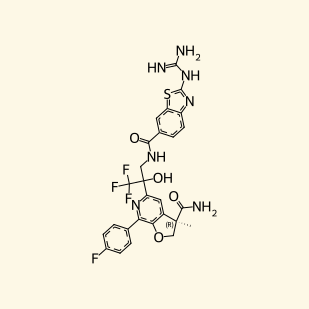 C[C@]1(C(N)=O)COc2c1cc(C(O)(CNC(=O)c1ccc3nc(NC(=N)N)sc3c1)C(F)(F)F)nc2-c1ccc(F)cc1